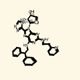 O[C@H]1[C@H](n2c(-c3nnc[nH]3)nc3c(NCC(c4ccccc4)c4ccccc4)nc(NCCc4ccccn4)nc32)OC[C@@H]1O